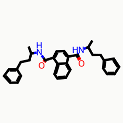 CC(CCc1ccccc1)NC(=O)c1ccc(C(=O)NC(C)CCc2ccccc2)c2ccccc12